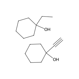 C#CC1(O)CCCCC1.CCC1(O)CCCCC1